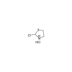 Cl.ClC1NCCS1